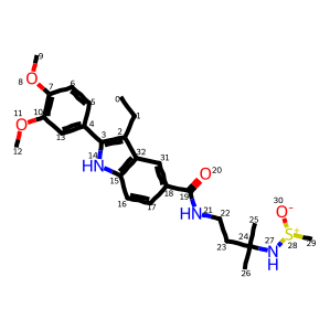 CCc1c(-c2ccc(OC)c(OC)c2)[nH]c2ccc(C(=O)NCCC(C)(C)N[S+](C)[O-])cc12